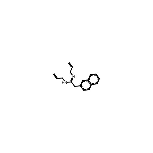 C=CCN=C(Cc1ccc2ccccc2c1)NCC=C